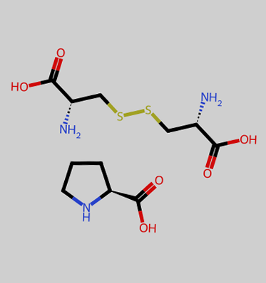 N[C@@H](CSSC[C@H](N)C(=O)O)C(=O)O.O=C(O)[C@@H]1CCCN1